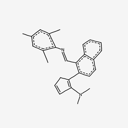 Cc1cc(C)c(N=Cc2c(C3=C(N(C)C)C=CC3)ccc3ccccc23)c(C)c1